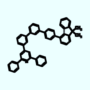 CC1(C)c2ccccc2-c2c(-c3ccc(-c4cccc(-c5cccc(-c6cc(-c7ccccc7)nc(-c7ccccc7)c6)c5)c4)cc3)cccc21